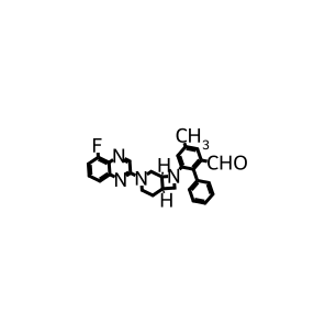 Cc1cc(C=O)c(-c2ccccc2)c(N2C[C@H]3CCN(c4cnc5c(F)cccc5n4)C[C@H]32)c1